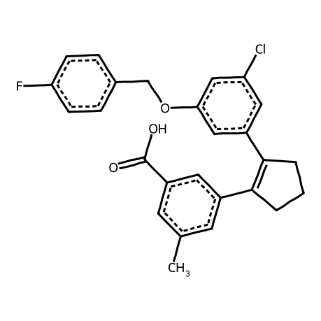 Cc1cc(C(=O)O)cc(C2=C(c3cc(Cl)cc(OCc4ccc(F)cc4)c3)CCC2)c1